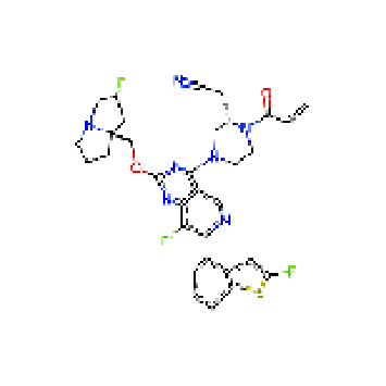 C=CC(=O)N1CCN(c2nc(OC[C@@]34CCCN3C[C@H](F)C4)nc3c(F)c(-c4cccc5sc(F)cc45)ncc23)C[C@@H]1CC#N